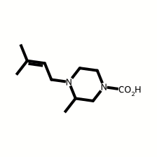 CC(C)=CCN1CCN(C(=O)O)CC1C